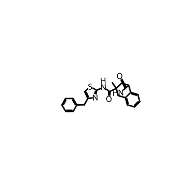 CC1(C(=O)Nc2nc(Cc3ccccc3)cs2)CC2C(=O)NC1c1ccccc12